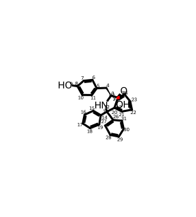 O=C(O)[C@H](Cc1ccc(O)cc1)NC(c1ccccc1)(c1ccccc1)c1ccccc1